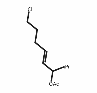 CC(=O)OC(/C=C/CCCCl)C(C)C